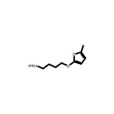 CCCCCCCCCCOc1ccc(C)o1